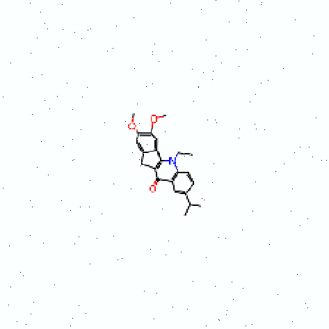 CCn1c2c(c(=O)c3cc(C(C)C)ccc31)Cc1cc(OC)c(OC)cc1-2